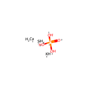 O=P(O)(O)O.[CaH2].[KH].[SiH4]